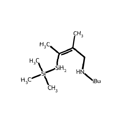 CCC(C)NCC(C)=C(C)[SiH2][Si](C)(C)C